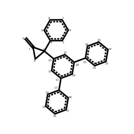 C=C1CC1(c1ccccc1)c1cc(-c2ccccc2)cc(-c2ccccc2)c1